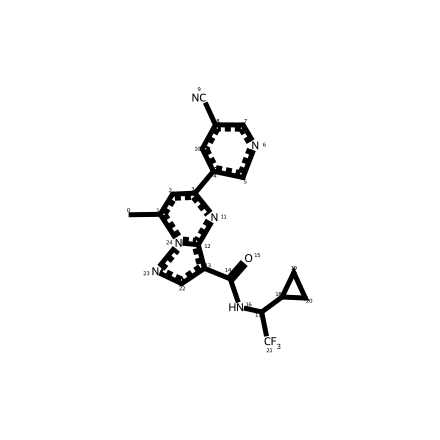 Cc1cc(-c2cncc(C#N)c2)nc2c(C(=O)NC(C3CC3)C(F)(F)F)cnn12